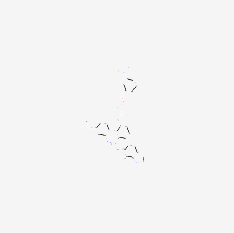 COc1cccc(CN(Cc2ccc3nc[nH]c3c2)c2cccc(COCCOc3cccc(N(C)C)c3)c2)c1